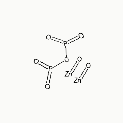 O=P(=O)OP(=O)=O.[O]=[Zn].[O]=[Zn]